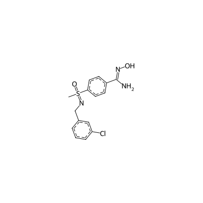 CS(=O)(=NCc1cccc(Cl)c1)c1ccc(/C(N)=N/O)cc1